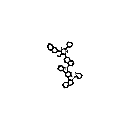 CCC1C(c2ccc3ccccc3c2)=NC(c2ccccc2)=NC1c1ccc2c(-n3c4ccccc4c4cc5c6c7ccccc7ccc6n(-c6ccccn6)c5cc43)cccc2c1